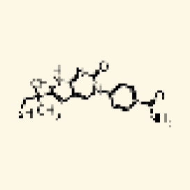 CC(C)(CS)c1cc2cn(-c3ccc(C(N)=O)cc3)c(=O)nc2[nH]1